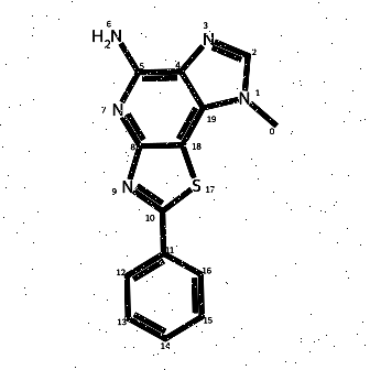 Cn1cnc2c(N)nc3nc(-c4ccccc4)sc3c21